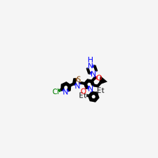 CCc1cccc(CC)c1-n1c(CC2CC2)c(C(=O)N2CCNCC2)cc(-c2nc(-c3ccc(Cl)nc3)cs2)c1=O